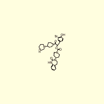 O=C(O[C@H](Cc1ccc(O)c(Br)c1)C(=O)N1CCC(N2CCCNCC2)CC1)N1CCC(N2CCc3ccccc3NC2=O)CC1